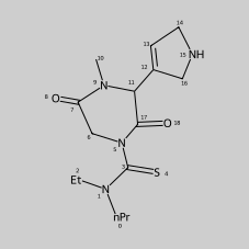 CCCN(CC)C(=S)N1CC(=O)N(C)C(C2=CCNC2)C1=O